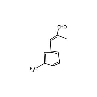 CC(C=O)=Cc1cccc(C(F)(F)F)c1